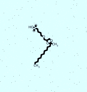 CCCCCCCCCCCC1(C)OCC(COCCCCS(=O)(=O)O)O1